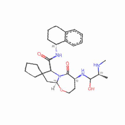 CN[C@@H](C)C(O)N[C@H]1CCO[C@H]2CC3(CCCC3)C(C(=O)N[C@@H]3CCCc4ccccc43)N2C1=O